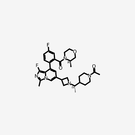 CC(=O)N1CCC([C@H](C)N2CC(c3cc(-c4ccc(F)cc4C(=O)N4CCOC[C@H]4C)c4c(F)nc(C)n4c3)C2)CC1